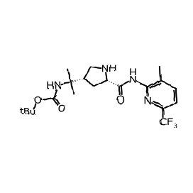 Cc1ccc(C(F)(F)F)nc1NC(=O)[C@@H]1C[C@H](C(C)(C)NC(=O)OC(C)(C)C)CN1